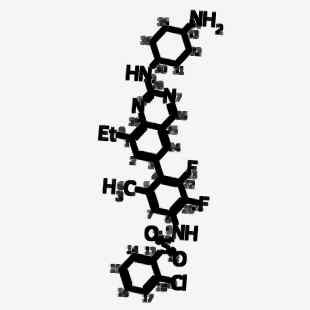 CCc1cc(-c2c(C)cc(NS(=O)(=O)c3ccccc3Cl)c(F)c2F)cc2cnc(NC3CCC(N)CC3)nc12